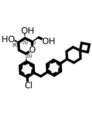 OC[C@H]1O[C@H](c2ccc(Cl)c(Cc3ccc(C4CCC5(CCC5)CC4)cc3)c2)C[C@@H](O)[C@@H]1O